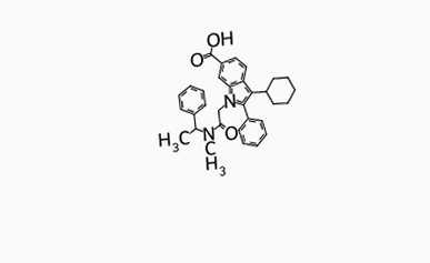 CC(c1ccccc1)N(C)C(=O)Cn1c(-c2ccccc2)c(C2CCCCC2)c2ccc(C(=O)O)cc21